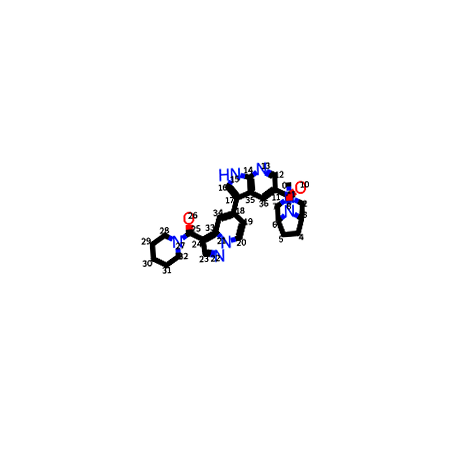 CN1CC2CCC(C1)N2C(=O)c1cnc2[nH]cc(-c3ccn4ncc(C(=O)N5CCCCC5)c4c3)c2c1